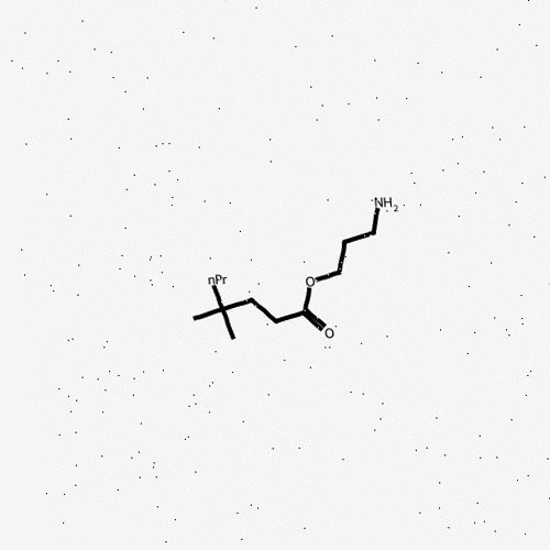 CCCC(C)(C)CCC(=O)OCCCN